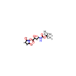 CC(C)(C)OC(=O)NCC[C@H](O)C(=O)ON1C(=O)CCC1=O